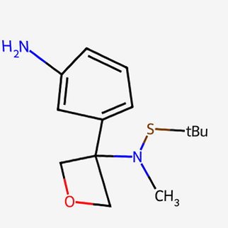 CN(SC(C)(C)C)C1(c2cccc(N)c2)COC1